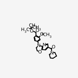 COc1cc(N2CCOc3cc(C(=O)N4CCCCC4)cnc32)ccc1C(=O)OC(C)(C)C